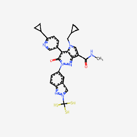 CNC(=O)c1cn(CC2CC2)c2c(-c3ccc(C4CC4)nc3)c(=O)n(-c3ccc4nn(C(S)(S)S)cc4c3)nc12